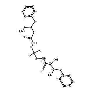 CC(C)(CNC(=O)CC(CN)Cc1ccccc1)CNC(=O)C(O)C(N)Cc1ccccc1